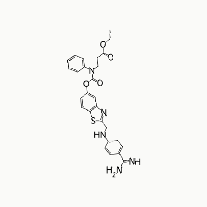 CCOC(=O)CCN(C(=O)Oc1ccc2sc(CNc3ccc(C(=N)N)cc3)nc2c1)c1ccccc1